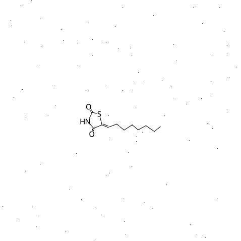 CCCCCCCC=C1SC(=O)NC1=O